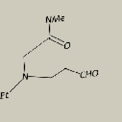 CCN(CCC=O)CC(=O)NC